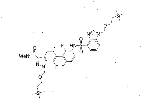 CNC(=O)c1nn(COCC[Si](C)(C)C)c2c(F)c(-c3c(F)ccc(NS(=O)(=O)c4cccc5c4ncn5COCC[Si](C)(C)C)c3F)ccc12